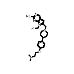 CC(C)Cn1c(CN2CCC(c3ccc(OCCN(C)C)cc3)CC2)cc2cnc(C#N)nc21